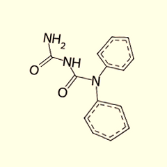 NC(=O)NC(=O)N(c1ccccc1)c1ccccc1